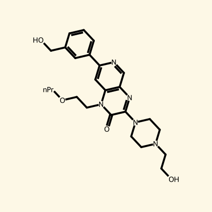 CCCOCCn1c(=O)c(N2CCN(CCO)CC2)nc2cnc(-c3cccc(CO)c3)cc21